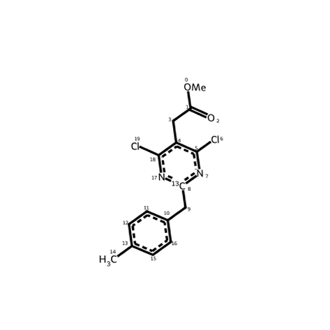 COC(=O)Cc1c(Cl)n[13c](Cc2ccc(C)cc2)nc1Cl